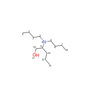 CCCCN(CCCC)C(CO)CCC